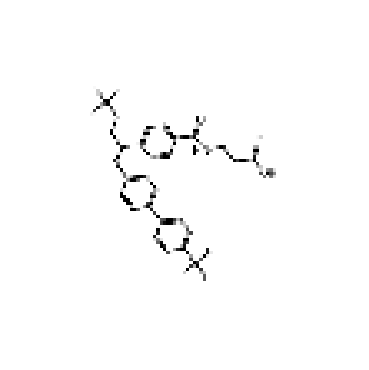 CC(C)(C)CCC(Oc1ccc(-c2ccc(C(F)(F)F)cc2)nc1)c1ccc(C(=O)NCCC(=O)O)cc1